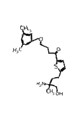 Cc1cc(C)cc(OCCCC(=O)c2ccc(CCC(C)(N)CO)s2)c1